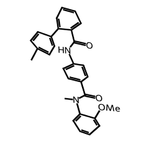 COc1ccccc1N(C)C(=O)c1ccc(NC(=O)c2ccccc2-c2ccc(C)cc2)cc1